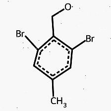 Cc1cc(Br)c(C[O])c(Br)c1